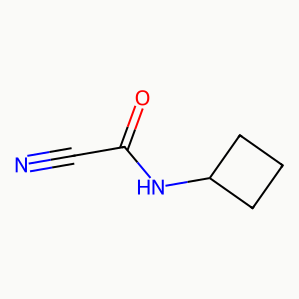 N#CC(=O)NC1CCC1